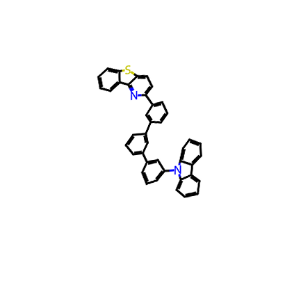 c1cc(-c2cccc(-c3ccc4sc5ccccc5c4n3)c2)cc(-c2cccc(-n3c4ccccc4c4ccccc43)c2)c1